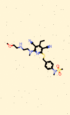 CCc1c(C#N)c(SCc2ccc(N(C)S(C)(=O)=O)cc2)nc(N(C)CCNCCOC)c1C#N